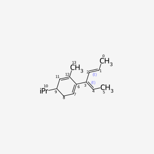 C/C=C/C(=C\C)C1=CCC(C(C)C)C=C1C